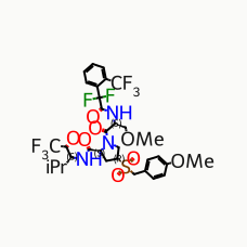 COC[C@H](NC(=O)C(F)(F)c1ccccc1C(F)(F)F)C(=O)N1C[C@H](S(=O)(=O)Cc2ccc(OC)cc2)C[C@H]1C(=O)N[C@H](C(=O)C(F)(F)F)C(C)C